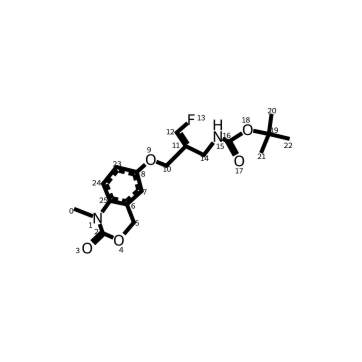 CN1C(=O)OCc2cc(OCC(=CF)CNC(=O)OC(C)(C)C)ccc21